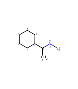 [CH2]C(NCC)C1CCCCC1